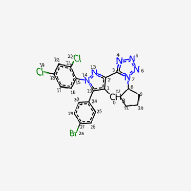 Cc1c(-c2nnnn2C2CCCC2)nn(-c2ccc(Cl)cc2Cl)c1-c1ccc(Br)cc1